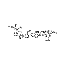 CCC[C@H](C)N(Cc1nc2ccc3cc4c(cc3c2[nH]1)OCc1cc(-c2cnc([C@@H]3CC[C@H](C)N3C(=O)[C@@H](NC(=O)OC)C(C)C)[nH]2)ccc1-4)C(=O)[C@@H](NC(=O)OC)[C@H]1CCCOC1